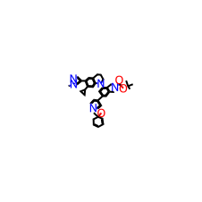 Cn1cc(-c2cc3c(cc2C2CC2)N(c2cc(-c4ccnc(OC5(C)C=CC=CC5)c4)cc4c2CN(C(=O)OC(C)(C)C)C4)CCC3)cn1